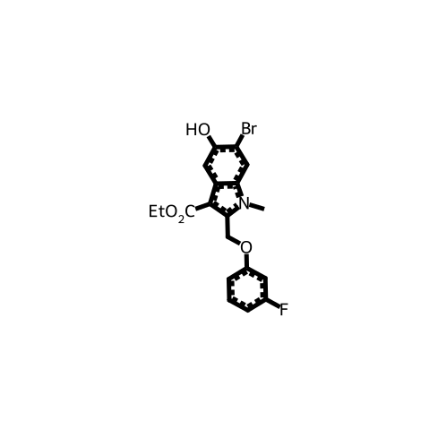 CCOC(=O)c1c(COc2cccc(F)c2)n(C)c2cc(Br)c(O)cc12